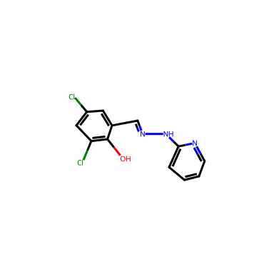 Oc1c(Cl)cc(Cl)cc1/C=N/Nc1ccccn1